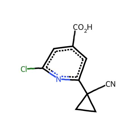 N#CC1(c2cc(C(=O)O)cc(Cl)n2)CC1